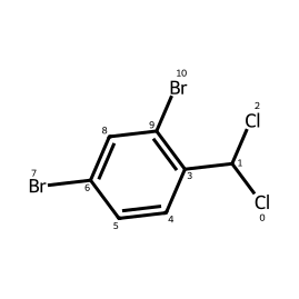 ClC(Cl)c1ccc(Br)cc1Br